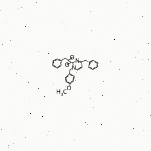 COc1ccc(CN2C=CC(Cc3ccccc3)=NC2S(=O)(=O)Cc2ccccc2)cc1